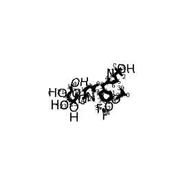 CC(C)(O)c1ccc([C@@H](Cc2ccc(O[C@H]3OC(CO)[C@@H](O)C(O)[C@H]3O)nc2)c2ccc(OC(F)F)c(OC3CC3)c2)cn1